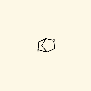 C1OC2CN[C]1C2